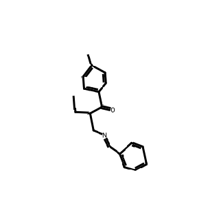 CCC(CN=Cc1ccccc1)C(=O)c1ccc(C)cc1